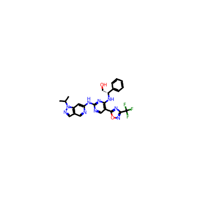 CC(C)n1ncc2cnc(Nc3ncc(-c4nc(C(F)(F)F)no4)c(N[C@H](CO)c4ccccc4)n3)cc21